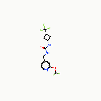 O=C(NCc1ccnc(OC(F)F)c1)N[C@H]1C[C@@H](C(F)(F)F)C1